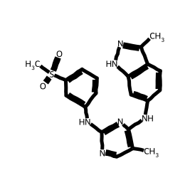 Cc1cnc(Nc2cccc(S(C)(=O)=O)c2)nc1Nc1ccc2c(C)n[nH]c2c1